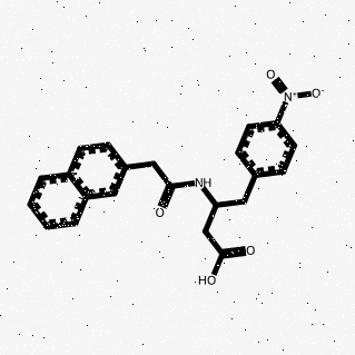 O=C(O)CC(Cc1ccc([N+](=O)[O-])cc1)NC(=O)Cc1ccc2ccccc2c1